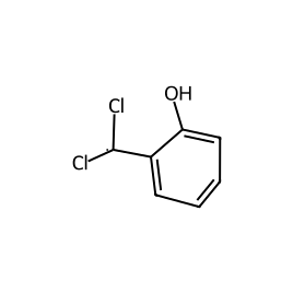 Oc1ccccc1[C](Cl)Cl